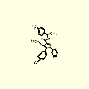 C[C@@H](NC(=O)c1nn(-c2ccccc2Cl)c(-c2ccc(Cl)cc2)c1OCC#N)c1ccc(C(F)(F)F)cc1